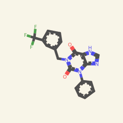 O=c1c2[nH]cnc2n(-c2ccccc2)c(=O)n1Cc1cccc(C(F)(F)F)c1